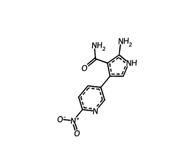 NC(=O)c1c(-c2ccc([N+](=O)[O-])nc2)c[nH]c1N